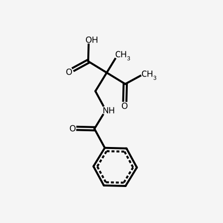 CC(=O)C(C)(CNC(=O)c1ccccc1)C(=O)O